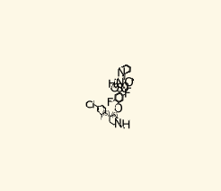 CC1C=C(Cl)C=C[C@@H]1C1CCNC[C@H]1COc1cc(F)c(S(=O)(=O)NC(=O)c2ccccn2)cc1F